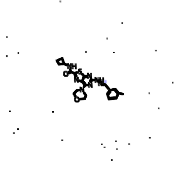 Cc1cccc(/C=N/Nc2nc(N3CCOCC3)c3nc(C(=O)NC4CCC4)sc3n2)c1